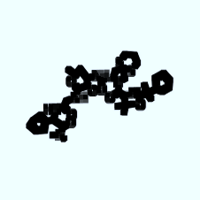 CCCC(NC(=O)[C@@H]1CC2(CN1C(=O)[C@@H](NC(=O)C(C)(C)c1ccccc1)C(C)(C)C)SCCCS2)C(=O)C(=O)NCC(=O)NC(C(=O)N(C)C)c1ccccc1